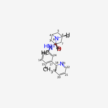 C#[N+][C@@H]1CC2C[C@H](C1)N2C(=O)Nc1ccc(C)c(-c2ccccn2)c1